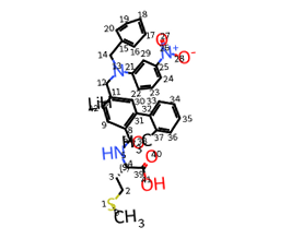 CSCC[C@H](NC(=O)c1ccc(CN(Cc2ccccc2)c2cccc([N+](=O)[O-])c2)cc1-c1ccccc1C)C(=O)O.[LiH]